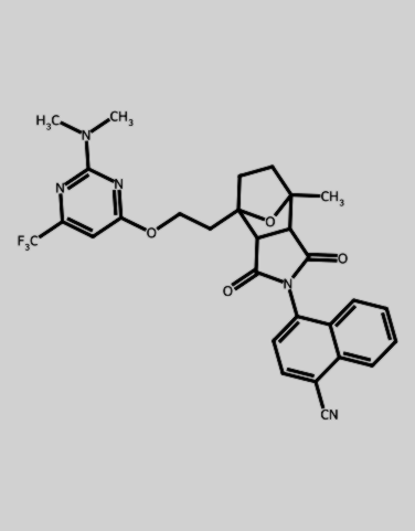 CN(C)c1nc(OCCC23CCC(C)(O2)C2C(=O)N(c4ccc(C#N)c5ccccc45)C(=O)C23)cc(C(F)(F)F)n1